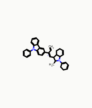 C=C/C(=C\C1C2CCC=CC2N(C2=CC=CCC2)C1C)c1ccc2c(c1)c1ccccc1n2-c1ccccc1